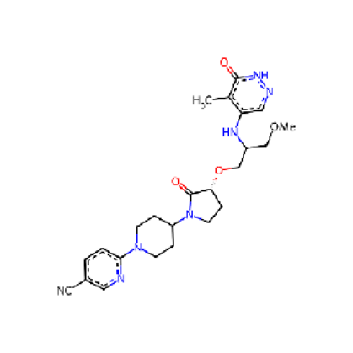 COC[C@@H](CO[C@@H]1CCN(C2CCN(c3ccc(C#N)cn3)CC2)C1=O)Nc1cn[nH]c(=O)c1C